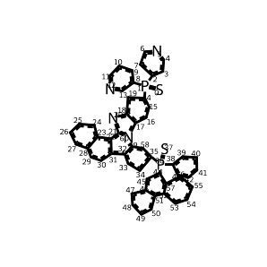 S=P(c1ccncc1)(c1cccnc1)c1ccc2c(c1)nc1c3c4ccccc4ccc3c3ccc(P(=S)(c4ccccc4)c4cc5ccccc5c5ccccc45)cc3n21